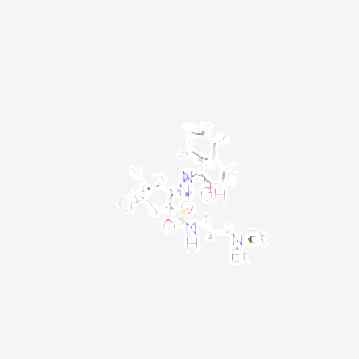 CCN(CC)CCCNS(=O)(=O)c1cc(Cl)c(C)cc1N=Nc1c(O)ccc2ccccc12